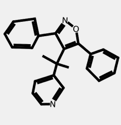 CC(C)(c1cccnc1)c1c(-c2ccccc2)noc1-c1ccccc1